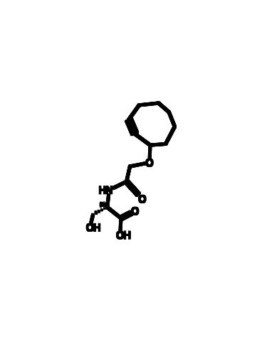 O=C(COC1C#CCCCCC1)N[C@@H](CO)C(=O)O